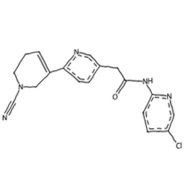 N#CN1CCC=C(c2ccc(CC(=O)Nc3ccc(Cl)cn3)cn2)C1